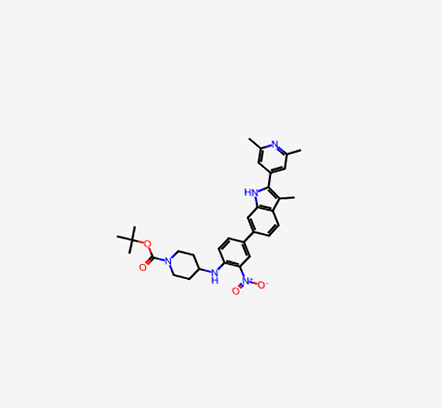 Cc1cc(-c2[nH]c3cc(-c4ccc(NC5CCN(C(=O)OC(C)(C)C)CC5)c([N+](=O)[O-])c4)ccc3c2C)cc(C)n1